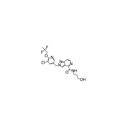 CC(F)(F)COc1ncc(Cn2cc3c(C(=O)NCCCO)nccc3n2)cc1Cl